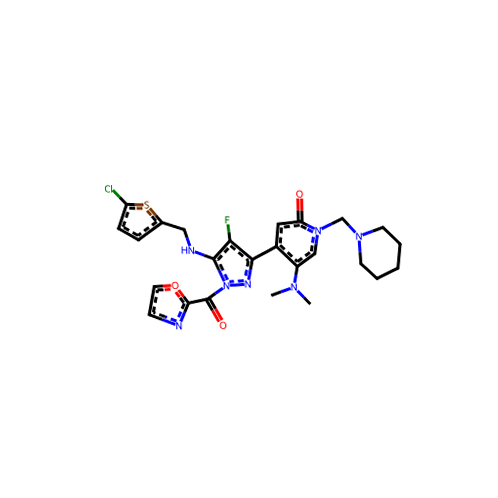 CN(C)c1cn(CN2CCCCC2)c(=O)cc1-c1nn(C(=O)c2ncco2)c(NCc2ccc(Cl)s2)c1F